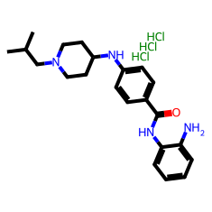 CC(C)CN1CCC(Nc2ccc(C(=O)Nc3ccccc3N)cc2)CC1.Cl.Cl.Cl